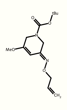 C=CCO/N=C1\C=C(OC)CN(C(=O)OC(C)(C)C)C1